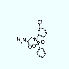 NC(=O)CN(c1cccc(Cl)c1)S(=O)(=O)c1ccccc1